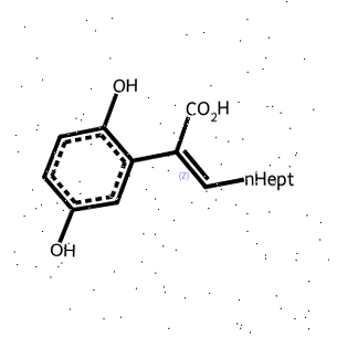 CCCCCCC/C=C(\C(=O)O)c1cc(O)ccc1O